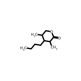 CCCCC1C(C)COC(=O)C1C